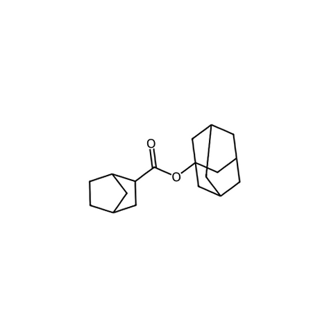 O=C(OC12CC3CC(CC(C3)C1)C2)C1CC2CCC1C2